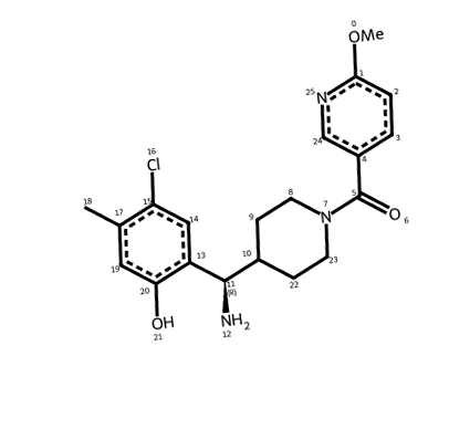 COc1ccc(C(=O)N2CCC([C@@H](N)c3cc(Cl)c(C)cc3O)CC2)cn1